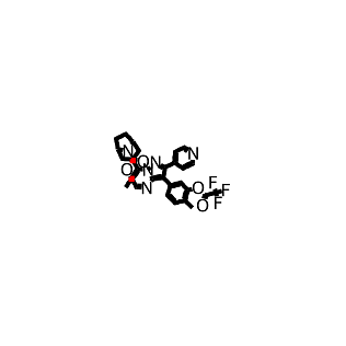 CCOC(=O)N1C2CCC1CC(c1ccnc3c(-c4ccc(C)c(OC(=O)C(F)(F)F)c4)c(-c4ccncc4)nn13)C2